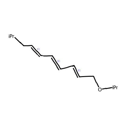 CC(C)C/C=C/C=C/C=C/COC(C)C